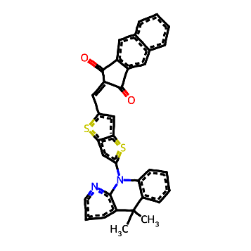 CC1(C)c2ccccc2N(c2cc3sc(C=C4C(=O)c5cc6ccccc6cc5C4=O)cc3s2)c2ncccc21